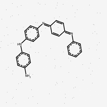 Nc1ccc(Nc2ccc(N=C3C=CC(=Nc4ccccc4)C=C3)cc2)cc1